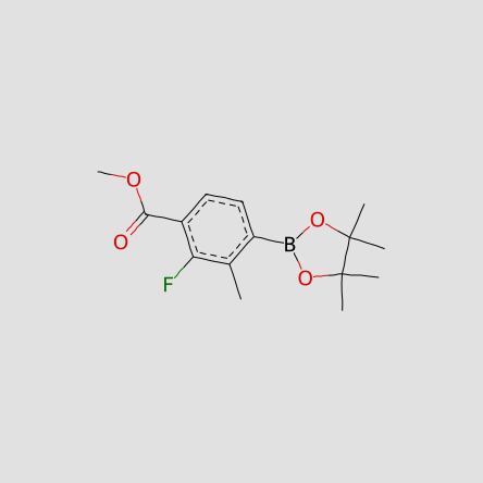 COC(=O)c1ccc(B2OC(C)(C)C(C)(C)O2)c(C)c1F